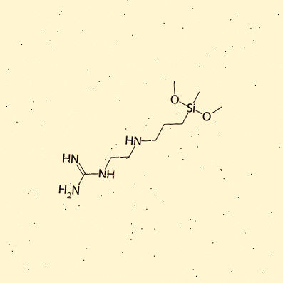 CO[Si](C)(CCCNCCNC(=N)N)OC